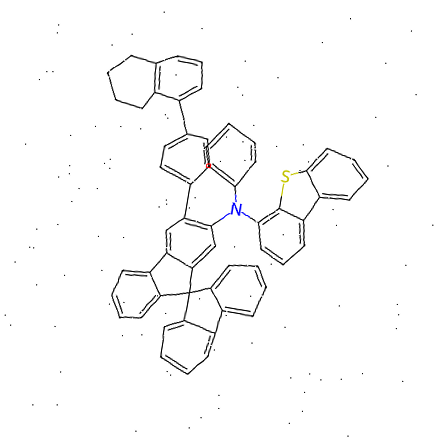 c1ccc(N(c2cc3c(cc2-c2ccc(-c4cccc5c4CCCC5)cc2)-c2ccccc2C32c3ccccc3-c3ccccc32)c2cccc3c2sc2ccccc23)cc1